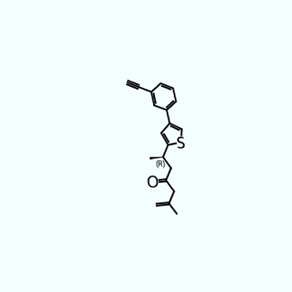 C#Cc1cccc(-c2csc([C@H](C)CC(=O)CC(=C)C)c2)c1